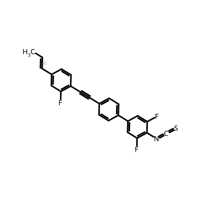 C/C=C/c1ccc(C#Cc2ccc(-c3cc(F)c(N=C=S)c(F)c3)cc2)c(F)c1